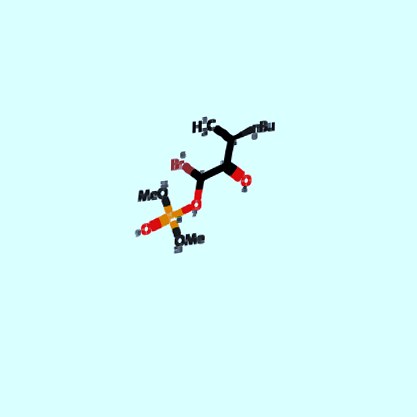 CCCC[C@H](C)C(=O)C(Br)OP(=O)(OC)OC